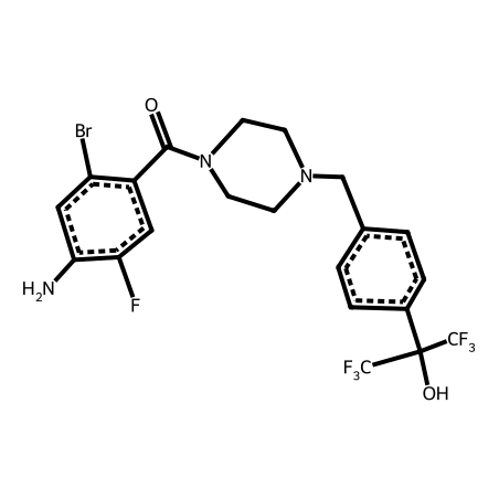 Nc1cc(Br)c(C(=O)N2CCN(Cc3ccc(C(O)(C(F)(F)F)C(F)(F)F)cc3)CC2)cc1F